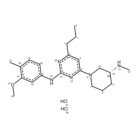 CCCc1cc(N2CCC[C@@H](NC)C2)nc(Nc2ccc(C)c(OC)c2)n1.Cl.Cl